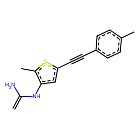 C=C(N)Nc1cc(C#Cc2ccc(C)cc2)sc1C